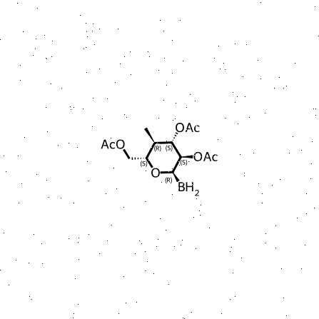 B[C@H]1O[C@H](COC(C)=O)[C@@H](C)[C@H](OC(C)=O)[C@H]1OC(C)=O